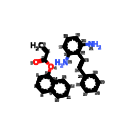 C=CC(=O)Oc1cccc2ccccc12.Nc1cccc(N)c1C=Cc1ccccc1